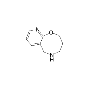 c1cnc2c(c1)CNCCCO2